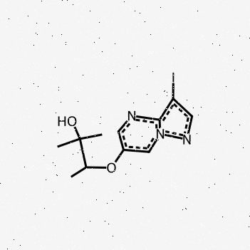 CC(Oc1cnc2c(I)cnn2c1)C(C)(C)O